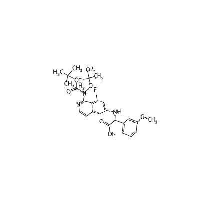 COc1cccc(C(Nc2cc(F)c3c(N(OC(C)(C)C)C(=O)OC(C)(C)C)nccc3c2)C(=O)O)c1